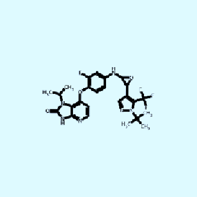 CC(C)n1c(=O)[nH]c2nccc(Oc3ccc(NC4OC4c4cnn(C(C)(C)C)c4C(F)(F)F)cc3F)c21